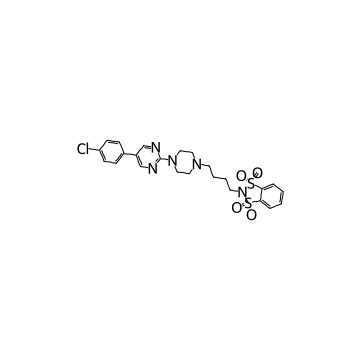 O=S1(=O)c2ccccc2S(=O)(=O)N1CCCCN1CCN(c2ncc(-c3ccc(Cl)cc3)cn2)CC1